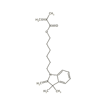 C=C(C)C(=O)OCCCCCCN1C(=C)C(C)(C)c2ccccc21